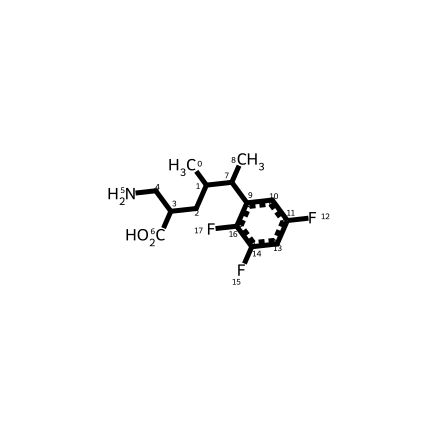 CC(CC(CN)C(=O)O)C(C)c1cc(F)cc(F)c1F